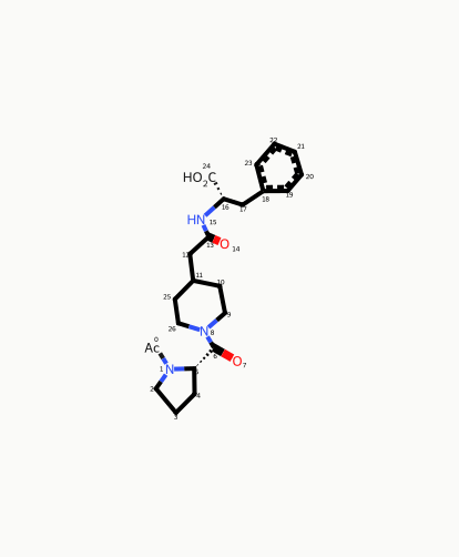 CC(=O)N1CCC[C@H]1C(=O)N1CCC(CC(=O)N[C@@H](Cc2ccccc2)C(=O)O)CC1